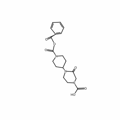 O=C(OC(=O)N1CCC(N2CCN(C(=O)O)CC2=O)CC1)c1ccccc1